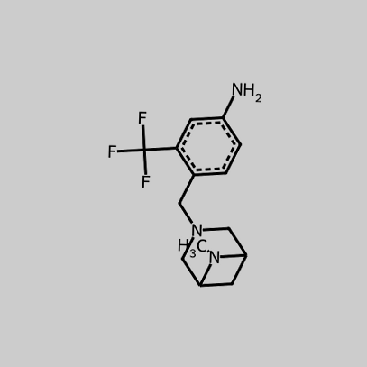 CN1C2CC1CN(Cc1ccc(N)cc1C(F)(F)F)C2